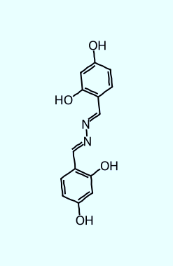 Oc1ccc(/C=N/N=C/c2ccc(O)cc2O)c(O)c1